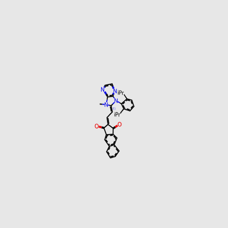 CC(C)c1cccc(C(C)C)c1N1/C(=C/C=C2C(=O)c3cc4ccccc4cc3C2=O)N(C)c2nccnc21